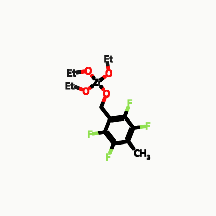 CC[O][Zr]([O]CC)([O]CC)[O]Cc1c(F)c(F)c(C)c(F)c1F